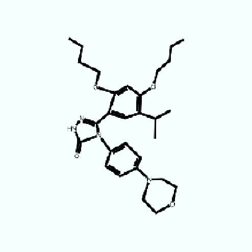 CCCCOc1cc(OCCCC)c(C(C)C)cc1-c1n[nH]c(=O)n1-c1ccc(N2CCOCC2)cc1